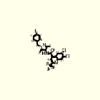 Cc1nn(Cc2ccc(F)cc2)c(C)c1NC(=O)c1cc(C(F)(F)F)nc2cc(Cl)c(Cl)cc12